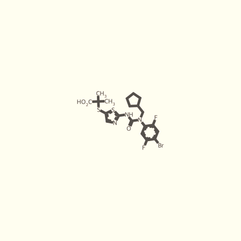 CC(C)(Sc1cnc(NC(=O)N(CC2CCCC2)c2cc(F)c(Br)cc2F)s1)C(=O)O